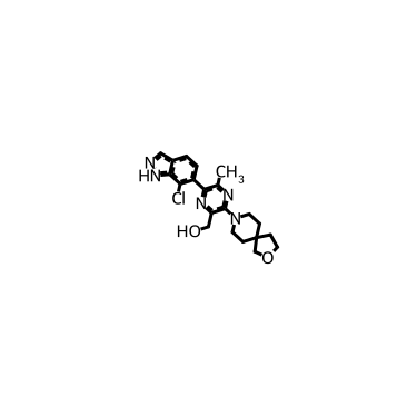 Cc1nc(N2CCC3(CCOC3)CC2)c(CO)nc1-c1ccc2cn[nH]c2c1Cl